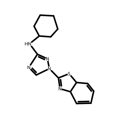 C1=CC2N=C(n3cnc(NC4CCCCC4)n3)SC2C=C1